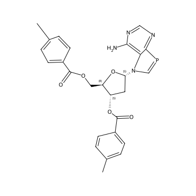 Cc1ccc(C(=O)OC[C@H]2O[C@H](n3cpc4ncnc(N)c43)C[C@@H]2OC(=O)c2ccc(C)cc2)cc1